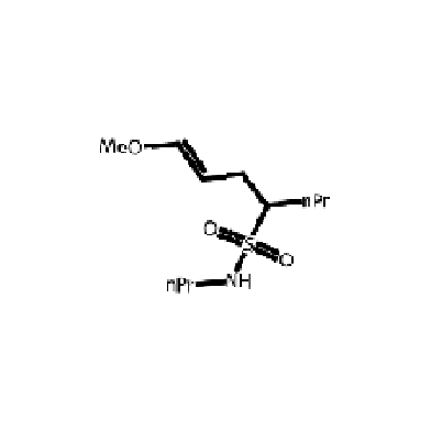 CCCNS(=O)(=O)C(C/C=C/OC)CCC